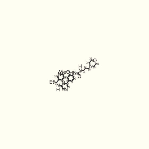 CCC(Nc1cncc(-c2ccc(NC(=O)NCCCN3CCOCC3)c(OC)c2)n1)c1cccnc1